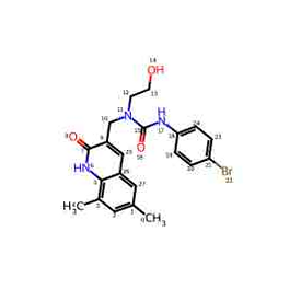 Cc1cc(C)c2[nH]c(=O)c(CN(CCO)C(=O)Nc3ccc(Br)cc3)cc2c1